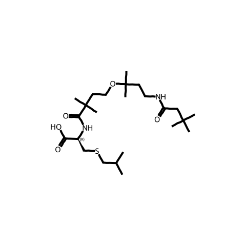 CC(C)CSC[C@H](NC(=O)C(C)(C)CCOC(C)(C)CCNC(=O)CC(C)(C)C)C(=O)O